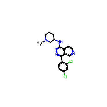 CN1CCCC(Nc2nnc(-c3ccc(Cl)cc3Cl)c3cnccc23)C1